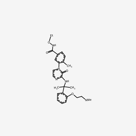 CCONC(=O)c1ccc(C)c(-n2ccnc(NC(C)(C)c3ccccc3OCCNC)c2=O)c1